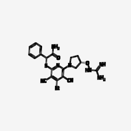 CCc1c(C#N)c(SC(C(N)=O)c2ccccc2)nc(N2CC[C@H](ONC(=N)N)C2)c1C#N